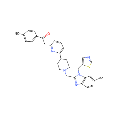 CC(=O)c1ccc2nc(CN3CCC(c4cccc(CC(=O)c5ccc(C#N)cc5)n4)CC3)n(Cc3cncs3)c2c1